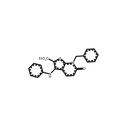 CCOC(=O)c1sc2c(ccc(=O)n2Cc2ccccc2)c1Nc1ccccc1